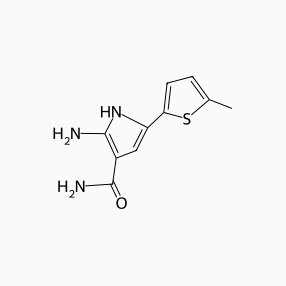 Cc1ccc(-c2cc(C(N)=O)c(N)[nH]2)s1